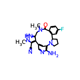 CN/C(C#N)=C1\C(=N)CN(C)C(=O)c2ccc(F)cc2C2CCCN2c2cc1cnc2N